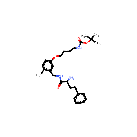 Cc1ccc(OCCCCNC(=O)OC(C)(C)C)cc1CNC(=O)C(N)CCc1ccccc1